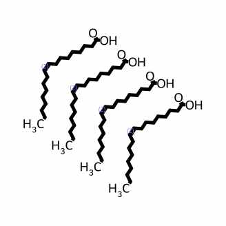 CCCCCCCC/C=C\CCCCCCCC(=O)O.CCCCCCCC/C=C\CCCCCCCC(=O)O.CCCCCCCC/C=C\CCCCCCCC(=O)O.CCCCCCCC/C=C\CCCCCCCC(=O)O